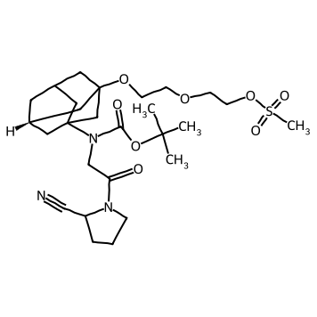 CC(C)(C)OC(=O)N(CC(=O)N1CCCC1C#N)C12CC3C[C@H](CC(OCCOCCOS(C)(=O)=O)(C3)C1)C2